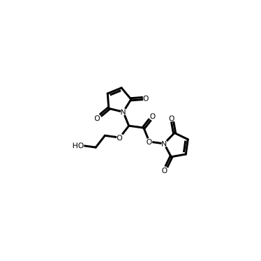 O=C(ON1C(=O)C=CC1=O)C(OCCO)N1C(=O)C=CC1=O